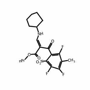 CCCOC(=O)C(=CNC1CCCCC1)C(=O)c1c(F)c(C)c(F)c(F)c1[N+](=O)[O-]